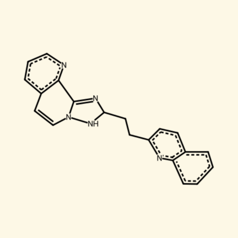 C1=CN2NC(CCc3ccc4ccccc4n3)N=C2c2ncccc21